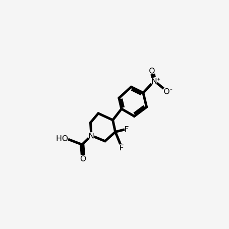 O=C(O)N1CCC(c2ccc([N+](=O)[O-])cc2)C(F)(F)C1